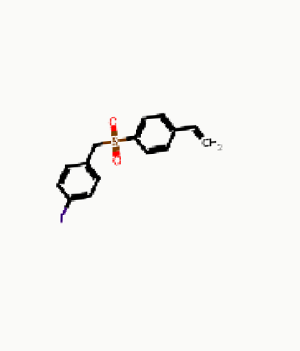 C=Cc1ccc(S(=O)(=O)Cc2ccc(I)cc2)cc1